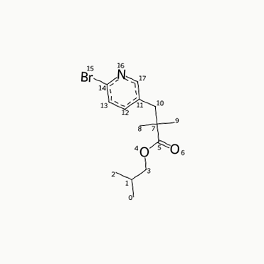 CC(C)COC(=O)C(C)(C)Cc1ccc(Br)nc1